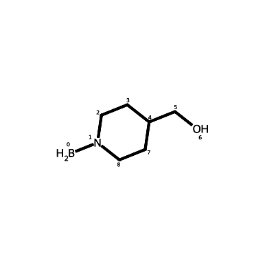 BN1CCC(CO)CC1